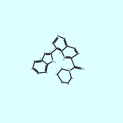 O=C(c1ccc2cncc(-c3cc4ccccc4o3)c2n1)N1CCCCC1